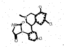 CN1Cc2c(Cl)cc(Cl)cc2C(c2ccccc2N2C(=O)CNC2=O)C1.Cl